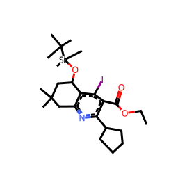 CCOC(=O)c1c(C2CCCC2)nc2c(c1I)C(O[Si](C)(C)C(C)(C)C)CC(C)(C)C2